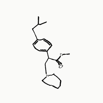 COC(=O)C(CN1CCCCC1)c1ccc(CC(C)C)cc1